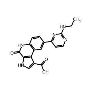 CCNc1nccc(-c2ccc3[nH]c(=O)c4[nH]cc(C(=O)O)c4c3c2)n1